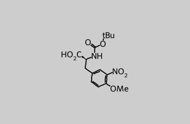 COc1ccc(C[C@H](NC(=O)OC(C)(C)C)C(=O)O)cc1[N+](=O)[O-]